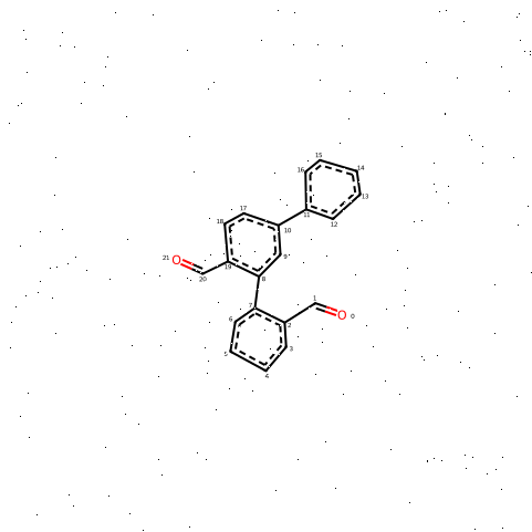 O=Cc1ccccc1-c1cc(-c2ccccc2)ccc1C=O